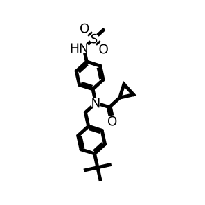 CC(C)(C)c1ccc(CN(C(=O)C2CC2)c2ccc(NS(C)(=O)=O)cc2)cc1